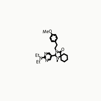 CCN(CC)c1ncc(C2N(CCc3ccc(OC)cc3)C(=O)C3(CCCCC3)N2C)cn1